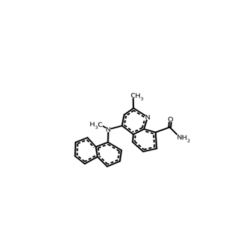 Cc1cc(N(C)c2cccc3ccccc23)c2cccc(C(N)=O)c2n1